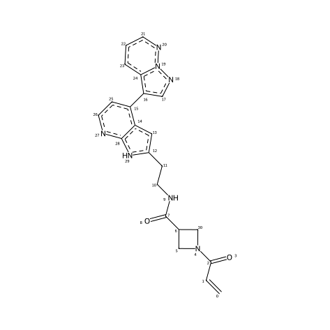 C=CC(=O)N1CC(C(=O)NCCc2cc3c(-c4cnn5ncccc45)ccnc3[nH]2)C1